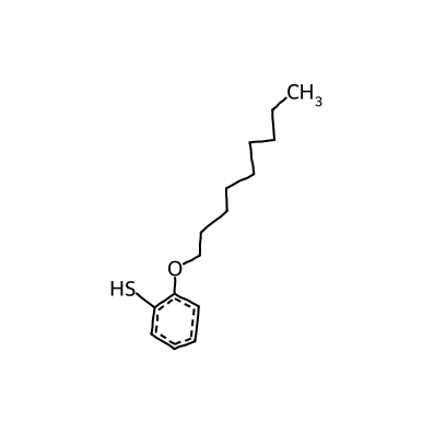 CCCCCCCCCOc1ccccc1S